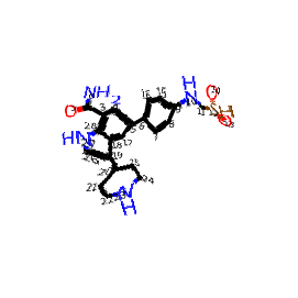 NC(=O)c1cc(-c2ccc(NC[SH](=O)=O)cc2)cc2c(C3CCNCC3)c[nH]c12